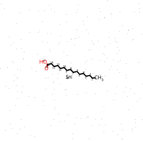 CCCCCCCCCCCCCCCC(=O)O.[Sn]